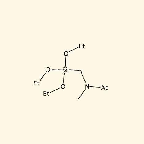 CCO[Si](CN(C)C(C)=O)(OCC)OCC